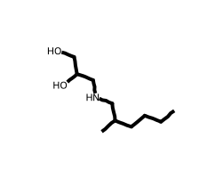 CCCCC(C)CNCC(O)CO